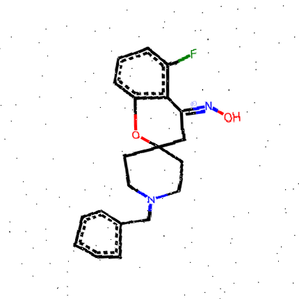 O/N=C1\CC2(CCN(Cc3ccccc3)CC2)Oc2cccc(F)c21